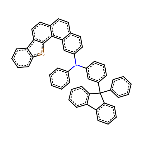 c1ccc(N(c2cccc(C3(c4ccccc4)c4ccccc4-c4ccccc43)c2)c2ccc3ccc4ccc5c6ccccc6sc5c4c3c2)cc1